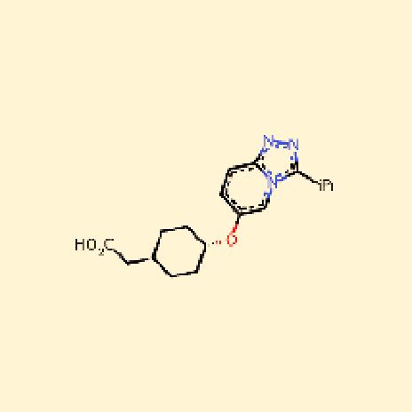 CC(C)c1nnc2ccc(O[C@H]3CC[C@H](CC(=O)O)CC3)cn12